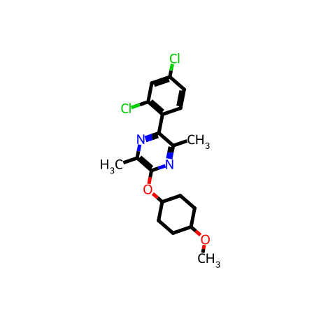 COC1CCC(Oc2nc(C)c(-c3ccc(Cl)cc3Cl)nc2C)CC1